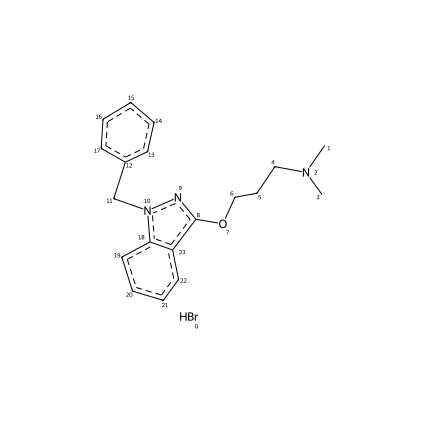 Br.CN(C)CCCOc1nn(Cc2ccccc2)c2ccccc12